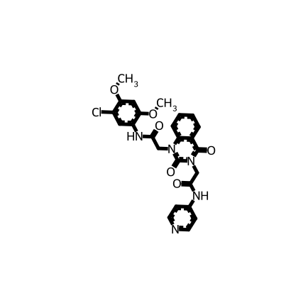 COc1cc(OC)c(NC(=O)Cn2c(=O)n(CC(=O)Nc3ccncc3)c(=O)c3ccccc32)cc1Cl